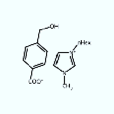 CCCCCC[n+]1ccn(C)c1.O=C([O-])c1ccc(CO)cc1